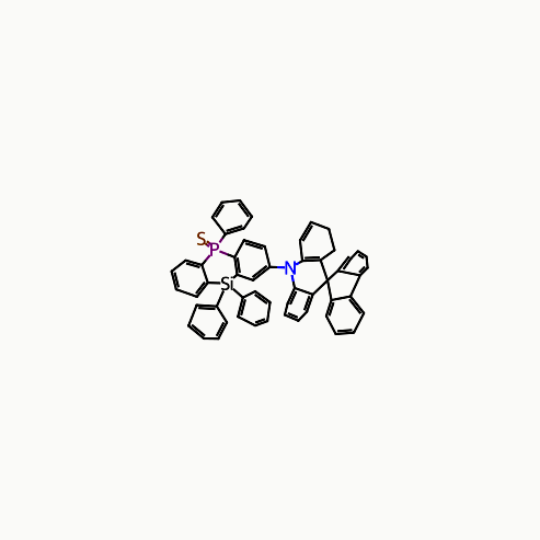 S=P1(c2ccccc2)c2ccccc2[Si](c2ccccc2)(c2ccccc2)c2cc(N3C4=C(CCC=C4)C4(c5ccccc5-c5ccccc54)c4ccccc43)ccc21